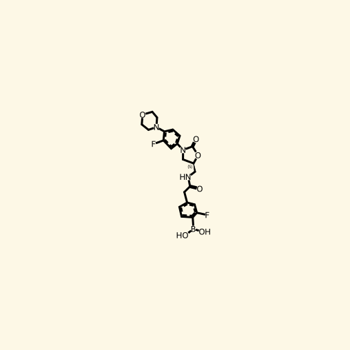 O=C(Cc1ccc(B(O)O)c(F)c1)NC[C@H]1CN(c2ccc(N3CCOCC3)c(F)c2)C(=O)O1